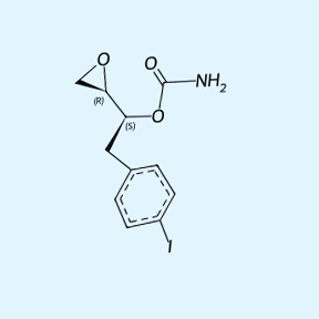 NC(=O)O[C@@H](Cc1ccc(I)cc1)[C@H]1CO1